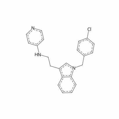 Clc1ccc(Cn2cc(CCNc3ccncc3)c3ccccc32)cc1